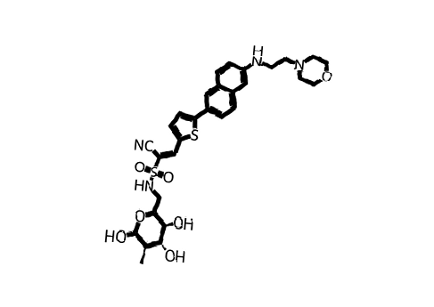 C[C@H]1C(O)OC(CNS(=O)(=O)/C(C#N)=C/c2ccc(-c3ccc4cc(NCCN5CCOCC5)ccc4c3)s2)[C@@H](O)[C@@H]1O